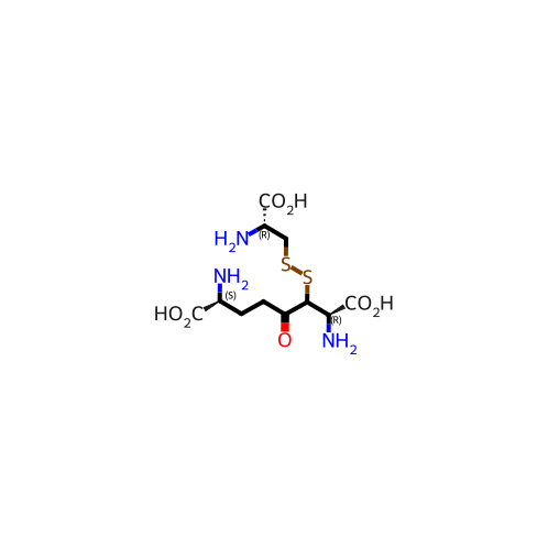 N[C@H](C(=O)O)C(SSC[C@H](N)C(=O)O)C(=O)CC[C@H](N)C(=O)O